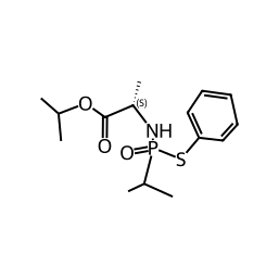 CC(C)OC(=O)[C@H](C)NP(=O)(Sc1ccccc1)C(C)C